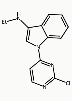 CCNc1cn(-c2ccnc(Cl)n2)c2ccccc12